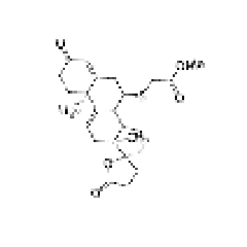 COC(=O)CS[C@@H]1CC2=CC(=O)CC[C@]2(C)C2=CC[C@@]3(C)C(CC[C@@]34CCC(=O)O4)C21